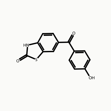 O=C(c1ccc(O)cc1)c1ccc2[nH]c(=O)sc2c1